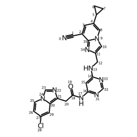 N#Cc1cc(C2CC2)cn2cc(CNc3cc(NC(=O)Cc4ncn5ccc(Cl)cc45)ncn3)nc12